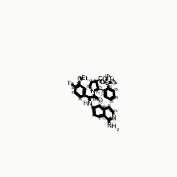 CCOc1cc(C(Nc2ccc3c(N)nccc3c2)C(=O)N2CC[C@@H](C(=O)O)[C@H]2c2ccccc2S(=O)(=O)C(C)C)ccc1F